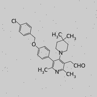 Cc1nc(C)c(-c2ccc(OCc3ccc(Cl)cc3)cc2)c(N2CCC(C)(C)CC2)c1CC=O